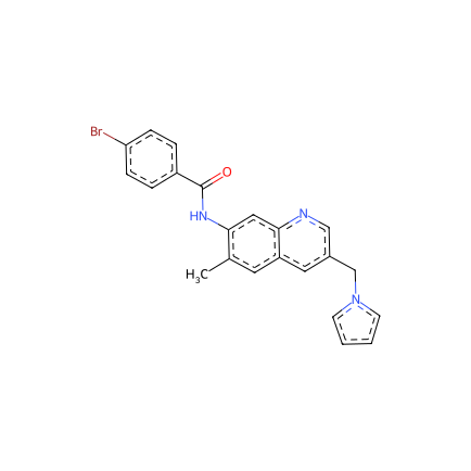 Cc1cc2cc(Cn3cccc3)cnc2cc1NC(=O)c1ccc(Br)cc1